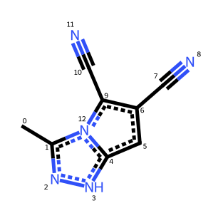 Cc1n[nH]c2cc(C#N)c(C#N)n12